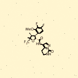 COc1c([C@H]2[C@H](C(=O)Nc3cnn4c3CCNC4=O)O[C@@](C)(C(F)(F)F)[C@H]2C)ccc(F)c1F